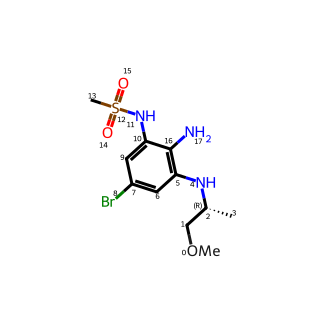 COC[C@@H](C)Nc1cc(Br)cc(NS(C)(=O)=O)c1N